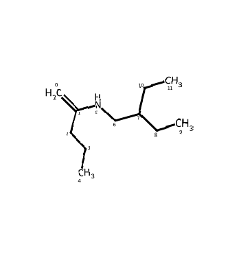 C=C(CCC)NCC(CC)CC